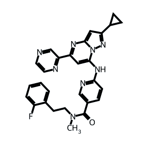 CN(CCc1ccccc1F)C(=O)c1ccc(Nc2cc(-c3cnccn3)nc3cc(C4CC4)nn23)nc1